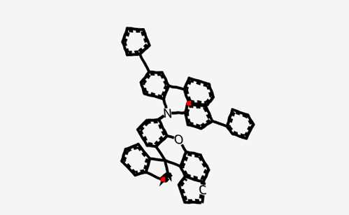 c1ccc(-c2ccc(N(c3ccc(-c4ccccc4)cc3-c3ccccc3)c3cccc4c3Oc3ccc5ccccc5c3C43c4ccccc4-c4ccccc43)cc2)cc1